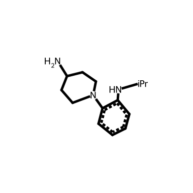 CC(C)Nc1ccccc1N1CCC(N)CC1